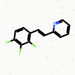 Fc1ccc(C=Cc2ccccn2)c(F)c1F